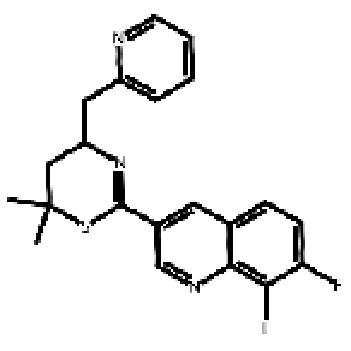 CC1(C)CC(Cc2ccccn2)N=C(c2cnc3c(F)c(F)ccc3c2)S1